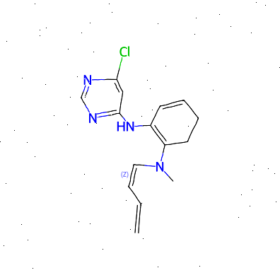 C=C/C=C\N(C)C1=C(Nc2cc(Cl)ncn2)C=CCC1